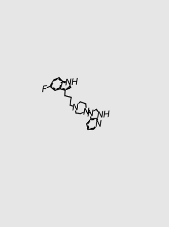 Fc1ccc2[nH]cc(CCCN3CCN(N4CNc5ncccc54)CC3)c2c1